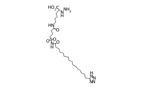 NN[C@@H](CCCCNC(=O)CCCS(=O)(=O)NC(=O)CCCCCCCCCCCCCCCc1nnn[nH]1)C(=O)O